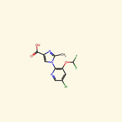 Cc1nc(C(=O)O)cn1-c1ncc(Br)cc1OC(F)F